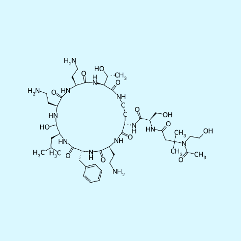 CC(=O)N(CCO)C(C)(C)CC(=O)N[C@H](CO)C(=O)N[C@H]1CCNC(=O)[C@H]([C@@H](C)O)NC(=O)[C@H](CCN)NC(=O)[C@H](CCN)NC(O)[C@H](CC(C)C)NC(=O)[C@@H](Cc2ccccc2)NC(=O)[C@H](CCN)NC1=O